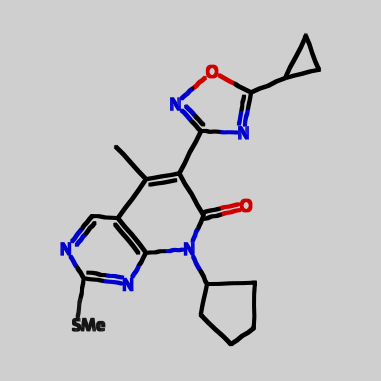 CSc1ncc2c(C)c(-c3noc(C4CC4)n3)c(=O)n(C3CCCC3)c2n1